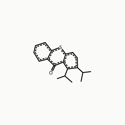 CC(C)c1ccc2sc3ccccc3c(=O)c2c1C(C)C